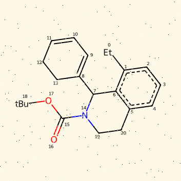 CCc1cccc2c1C(C1=CC=CCC1)N(C(=O)OC(C)(C)C)CC2